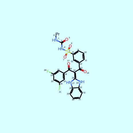 CC(C)NC(=O)NS(=O)(=O)c1cccc(C(=O)C(C(=O)c2cc(F)cc(F)c2)=C2Nc3ccccc3N2)c1